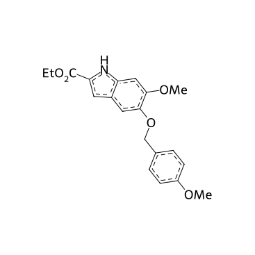 CCOC(=O)c1cc2cc(OCc3ccc(OC)cc3)c(OC)cc2[nH]1